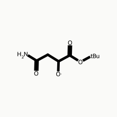 CC(C)(C)OC(=O)C([O])CC(N)=O